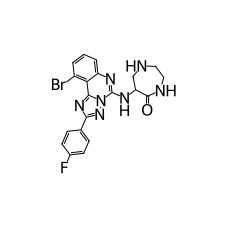 O=C1NCCNCC1Nc1nc2cccc(Br)c2c2nc(-c3ccc(F)cc3)nn12